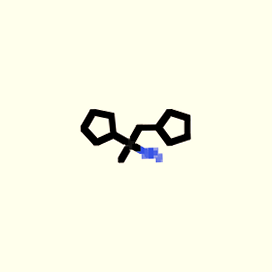 C[Si](N)(CC1CCCC1)C1CCCC1